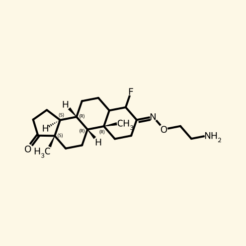 C[C@]12CCC(=NOCCN)C(F)C1CC[C@@H]1[C@H]2CC[C@]2(C)C(=O)CC[C@@H]12